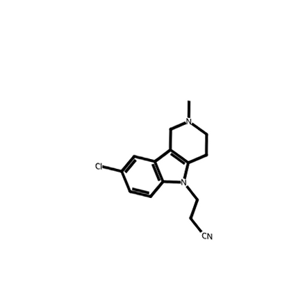 CN1CCc2c(c3cc(Cl)ccc3n2CCC#N)C1